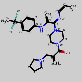 C=C(CN1CCCC1)C(=O)N1CCN(/C(=N/C=C\C)C(=C)Nc2ccc(C(C)(F)F)cc2)CC1